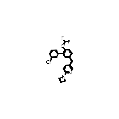 FC(F)Oc1ccc(Cc2ccc(N3CCC3)nc2)cc1-c1cccc(Cl)c1